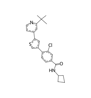 CC(C)(C)c1cc(-c2cc(-c3ccc(C(=O)NC4CCC4)cc3Cl)cs2)ccn1